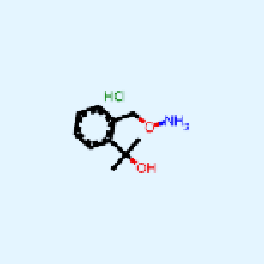 CC(C)(O)c1ccccc1CON.Cl